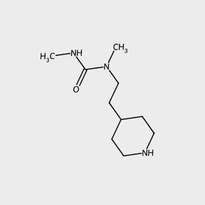 CNC(=O)N(C)CCC1CCNCC1